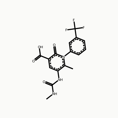 CNC(=O)Nc1cc(C(=O)O)c(=O)n(-c2cccc(C(F)(F)F)c2)c1C